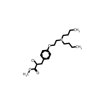 CCCCN(CCCC)CCOc1ccc(CC(Cl)C(=O)OC)cc1